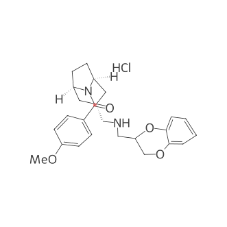 COc1ccc(C(=O)N2[C@@H]3CC[C@H]2C[C@H](CNCC2COc4ccccc4O2)C3)cc1.Cl